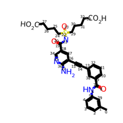 Cc1cccc(NC(=O)c2cccc(C#Cc3cc(C(=O)N=S(=O)(CCCCC(=O)O)CCCCC(=O)O)cnc3N)c2)c1